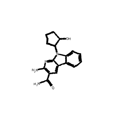 NC(=O)c1cc2c3ccccc3n(C3CCCC3O)c2nc1N